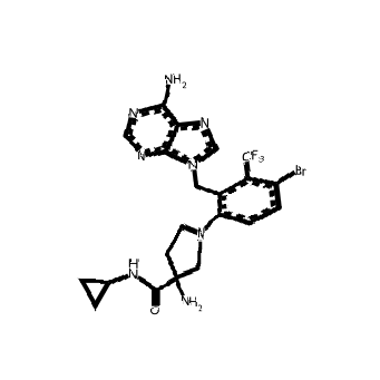 Nc1ncnc2c1ncn2Cc1c(N2CCC(N)(C(=O)NC3CC3)C2)ccc(Br)c1C(F)(F)F